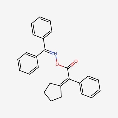 O=C(ON=C(c1ccccc1)c1ccccc1)C(=C1CCCC1)c1ccccc1